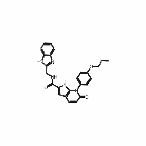 CCCOc1ccc(-n2c(=O)ccc3cc(C(=O)NCc4nc5ccccc5[nH]4)[nH]c32)cc1